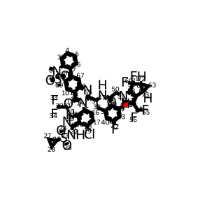 CN(c1ccccc1-c1ccc2c(=O)n(-c3ccc(Cl)c4c(NS(=O)(=O)C5CC5)nn(CC(F)F)c34)c([C@H](Cc3cc(F)cc(F)c3)NC(=O)Cn3nc(C(F)F)c4c3C(F)(F)[C@@H]3C[C@H]43)nc2c1)S(C)(=O)=O